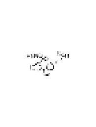 CCCC(=O)O.CCCC(=O)O.O=S(=O)(O)c1cccc2ccccc12.[NaH]